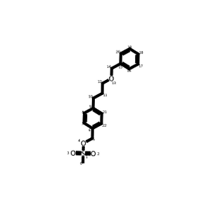 CS(=O)(=O)OCc1ccc(CCCOCc2ccccc2)cc1